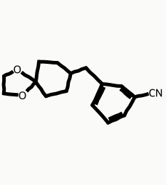 N#Cc1cccc(CC2CCC3(CC2)OCCO3)c1